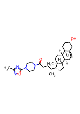 Cc1noc(N2CCN(C(=O)CC[C@@H](C)[C@H]3CC[C@H]4[C@@H]5CC=C6C[C@@H](O)CC[C@]6(C)[C@H]5CC[C@]34C)CC2)n1